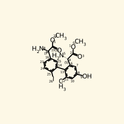 COC(=O)[C@@H](N)c1cc(O)cc(C)c1-c1cc([C@@H](N)C(=O)OC)ccc1I